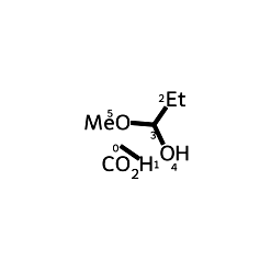 CC(=O)O.CCC(O)OC